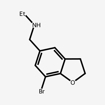 CCNCc1cc(Br)c2c(c1)CCO2